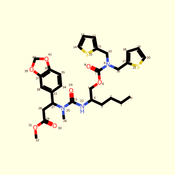 CCCCC(COC(=O)N(Cc1cccs1)Cc1cccs1)NC(=O)N(C)C(CC(=O)OC)c1ccc2c(c1)OCO2